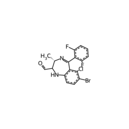 C[C@@H]1N=C(c2c(F)cccc2F)c2c(ccc(Br)c2Cl)NC1C=O